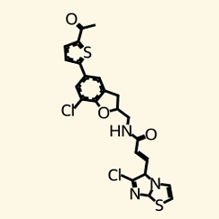 CC(=O)c1ccc(-c2cc(Cl)c3c(c2)CC(CNC(=O)C=CC2C(Cl)=NC4SC=CN42)O3)s1